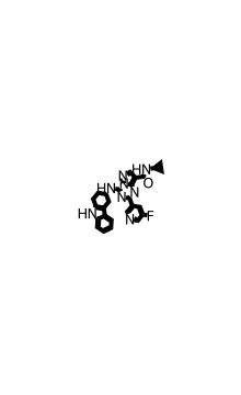 O=C(NC1CC1)c1cnn2c(NC3CCc4[nH]c5ccccc5c4C3)nc(-c3cncc(F)c3)nc12